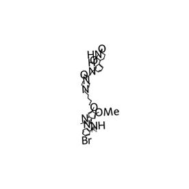 COc1cc2c(N[C@H](C)c3cccc(Br)c3)nc(C)nc2cc1OCCCCCN1CCN(C(=O)CNc2cccc(C3CCC(=O)NC3=O)c2)CC1